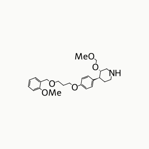 COCO[C@@H]1CNCC[C@H]1c1ccc(OCCCOCc2ccccc2OC)cc1